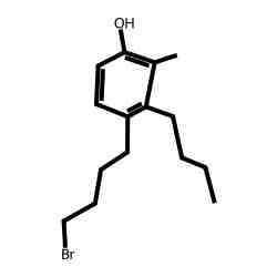 CCCCc1c(CCCCBr)ccc(O)c1C